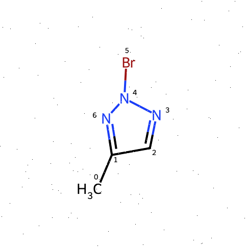 Cc1cnn(Br)n1